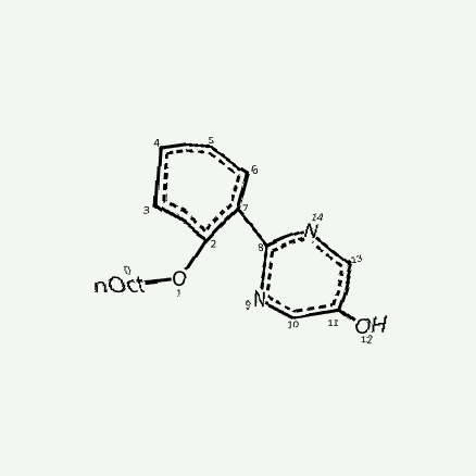 CCCCCCCCOc1ccccc1-c1ncc(O)cn1